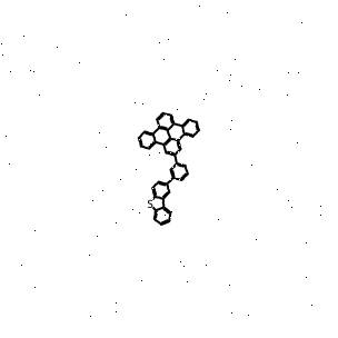 c1cc(-c2ccc3sc4ccccc4c3c2)cc(-c2cc3c4ccccc4c4cccc5c6ccccc6c(c2)c3c45)c1